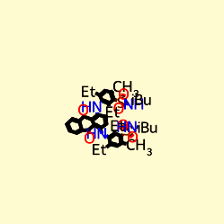 CCc1cc(C)c(S(=O)(=O)NC(C)CC)c(CC)c1Nc1ccc(Nc2c(CC)cc(C)c(S(=O)(=O)NC(C)CC)c2CC)c2c1C(=O)c1ccccc1C2=O